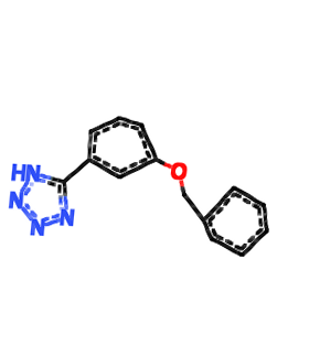 c1ccc(COc2cccc(-c3nnn[nH]3)c2)cc1